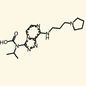 CC(C)N(C(=O)O)c1nnc2c(NCCCN3CCCC3)nccn12